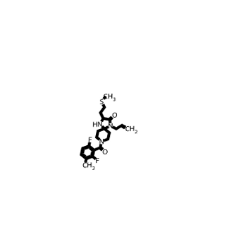 C=CCN1C(=O)C(CCSC)NC12CCN(C(=O)c1c(F)ccc(C)c1F)CC2